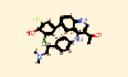 CC(=O)c1cnc2ccc(-c3cc(F)c(O)c(Cl)c3)cc2c1Nc1ccc(CCN(C)C)cc1